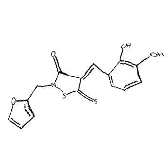 O=C1/C(=C/c2cccc(O)c2O)C(=S)SN1Cc1ccco1